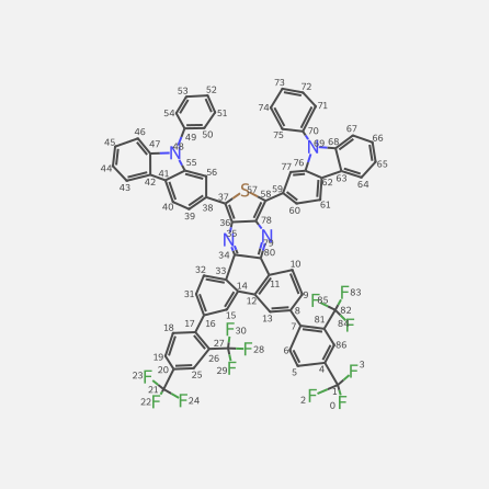 FC(F)(F)c1ccc(-c2ccc3c(c2)c2cc(-c4ccc(C(F)(F)F)cc4C(F)(F)F)ccc2c2nc4c(-c5ccc6c7ccccc7n(-c7ccccc7)c6c5)sc(-c5ccc6c7ccccc7n(-c7ccccc7)c6c5)c4nc32)c(C(F)(F)F)c1